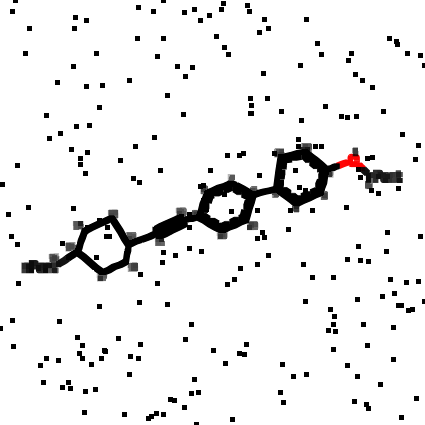 CCCCCOc1ccc(-c2ccc(C#CC3CCC(CCCCC)CC3)cc2)cc1